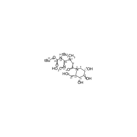 CN(CC(=O)N1C[C@H](O)[C@@H](O)[C@H](O)[C@H]1CO)C(=NC(=O)O)N(C(=O)OC(C)(C)C)C(C)(C)C